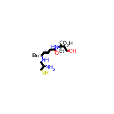 CC[C@H](C)[C@@H](/C=C/CC(=O)N[C@](CC)(CCO)C(=O)O)NC[C@@H](N)CS